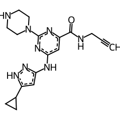 C#CCNC(=O)c1cc(Nc2cc(C3CC3)[nH]n2)nc(N2CCNCC2)n1